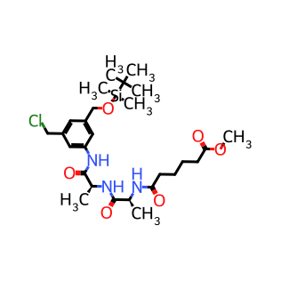 COC(=O)CCCCC(=O)N[C@@H](C)C(=O)N[C@@H](C)C(=O)Nc1cc(CCl)cc(CO[Si](C)(C)C(C)(C)C)c1